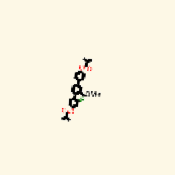 C=C(C)C(=O)Oc1ccc(-c2ccc(-c3ccc(OC(=O)C(=C)C)cc3F)c(COC)c2)cc1